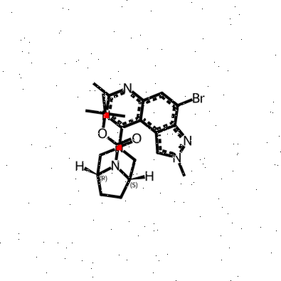 Cc1nc(N2C[C@H]3CC[C@@H](C2)N3C(=O)OC(C)(C)C)c2c(cc(Br)c3nn(C)cc32)n1